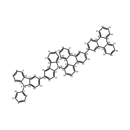 c1ccc(-n2c3ccccc3c3cc(-c4ccc5c(c4)c4ccccc4n5-c4cccc5c6ccc(-c7ccc8c9ccccc9c9ccccc9c8c7)cc6c6ccccc6c45)ccc32)cc1